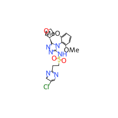 COc1cccc(OC)c1-n1c(NS(=O)(=O)CCc2ncc(Cl)cn2)nnc1[C@@H]1CCOC1